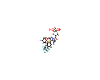 C=C(O)[C@]1(O)CC[C@@H](C(=O)N2CC[C@@]3(S(=O)(=O)c4ccc(I)cc4)c4ccc(C(F)(C(F)(F)F)C(F)(F)F)cc4CC[C@@H]23)CC1